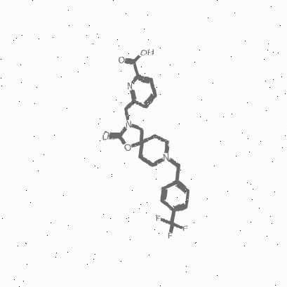 O=C(O)c1cccc(CN2CC3(CCN(Cc4ccc(C(F)(F)F)cc4)CC3)OC2=O)n1